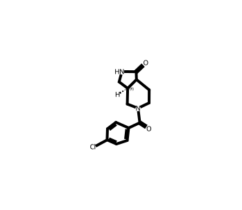 O=C1NC[C@@H]2CN(C(=O)c3ccc(Cl)cc3)CCC12